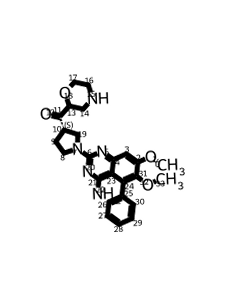 COc1cc2nc(N3CC[C@H](C(=O)C4CNCCO4)C3)nc(N)c2c(-c2ccccc2)c1OC